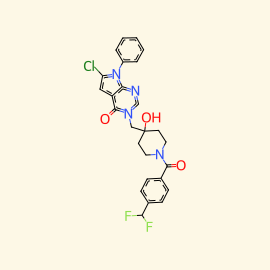 O=C(c1ccc(C(F)F)cc1)N1CCC(O)(Cn2cnc3c(cc(Cl)n3-c3ccccc3)c2=O)CC1